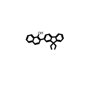 CCC1(CC)c2ccccc2-c2ccc(-c3ccc4ccccc4c3O)cc21